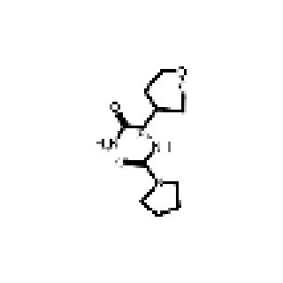 NC(=O)[C@@H](NC(=O)N1CCCC1)C1CCOCC1